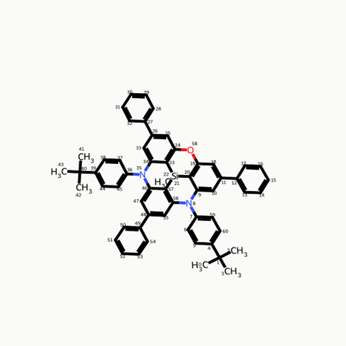 CC(C)(C)c1ccc(N2c3cc(-c4ccccc4)cc4c3[Si]3(C)c5c(cc(-c6ccccc6)cc5N(c5ccc(C(C)(C)C)cc5)c5cc(-c6ccccc6)cc2c53)O4)cc1